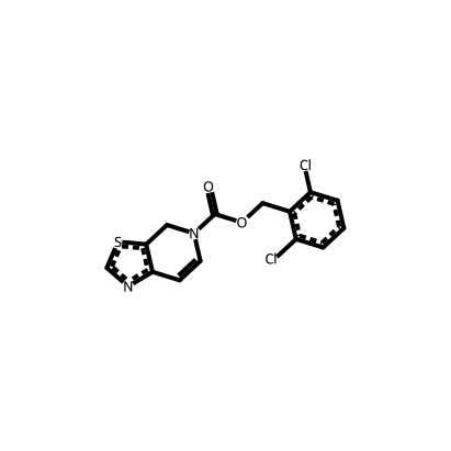 O=C(OCc1c(Cl)cccc1Cl)N1C=Cc2ncsc2C1